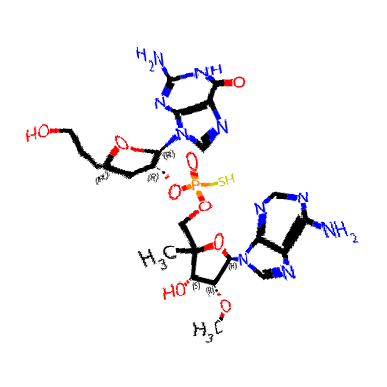 CO[C@H]1[C@H](n2cnc3c(N)ncnc32)OC(C)(COP(=O)(S)O[C@@H]2C[C@@H](CCO)O[C@H]2n2cnc3c(=O)[nH]c(N)nc32)[C@H]1O